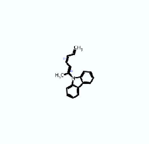 C=C/C=C\C=C(/C)n1c2ccccc2c2ccccc21